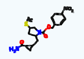 CC(=O)SC1CC(CC2CC2C(N)=O)N(C(=O)OCc2ccc([N+](=O)[O-])cc2)C1